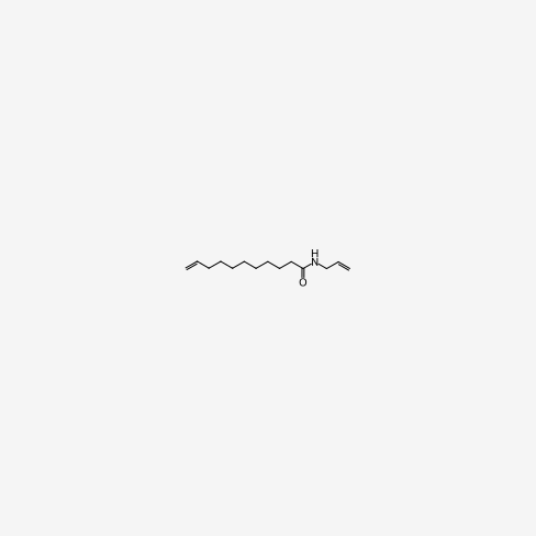 C=CCCCCCCCCC(=O)NCC=C